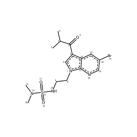 CC(C)C(=O)c1cn(CCNS(=O)(=O)N(C)C)c2ncc(Br)cc12